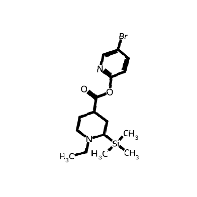 CCN1CCC(C(=O)Oc2ccc(Br)cn2)CC1[Si](C)(C)C